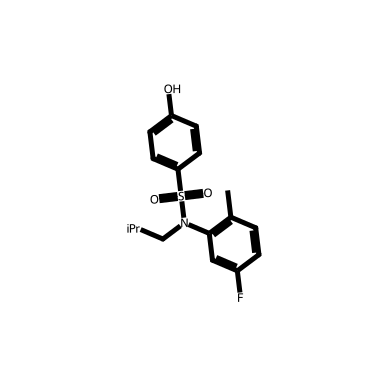 Cc1ccc(F)cc1N(CC(C)C)S(=O)(=O)c1ccc(O)cc1